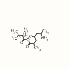 CC(N)CC(C)CC(C)C(=O)OC(=O)[C@@H](N)[C@@H](C)O